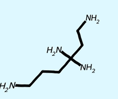 NCCCC(N)(N)CCN